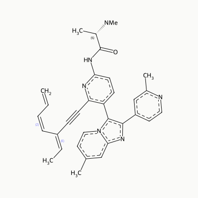 C=C/C=C\C(C#Cc1nc(NC(=O)[C@H](C)NC)ccc1-c1c(-c2ccnc(C)c2)nc2cc(C)ccn12)=C/C